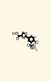 NS(=O)(=O)c1cc(C2=NC(C(=O)O)CO2)ccc1Cl